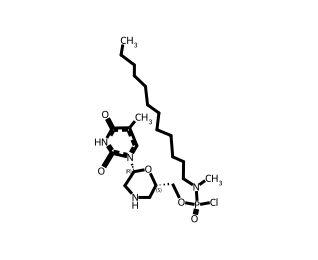 CCCCCCCCCCCCN(C)P(=O)(Cl)OC[C@@H]1CNC[C@H](n2cc(C)c(=O)[nH]c2=O)O1